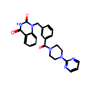 O=C(c1cccc(Cn2c(=O)[nH]c(=O)c3ccccc32)c1)N1CCN(c2ncccn2)CC1